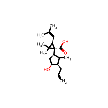 C=CC[C@@H]1C(C)[C@H]([C@]2(C(=O)O)[C@H](C=C(C)C)C2(C)C)C[C@@H]1O